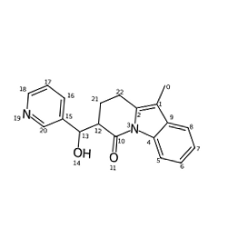 Cc1c2n(c3ccccc13)C(=O)C(C(O)c1cccnc1)CC2